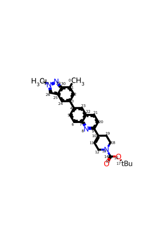 Cc1cc(-c2ccc3nc(C4=CCN(C(=O)OC(C)(C)C)CC4)ccc3c2)cc2cn(C)nc12